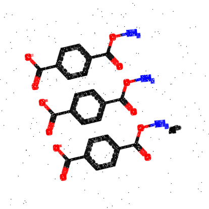 NOC(=O)c1ccc(C(=O)[O-])cc1.NOC(=O)c1ccc(C(=O)[O-])cc1.NOC(=O)c1ccc(C(=O)[O-])cc1.[Al+3]